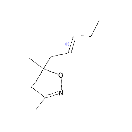 CC/C=C/CC1(C)CC(C)=NO1